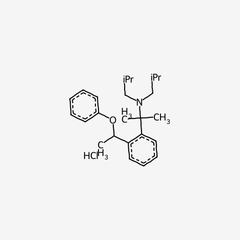 CC(C)CN(CC(C)C)C(C)(C)c1ccccc1C(C)Oc1ccccc1.Cl